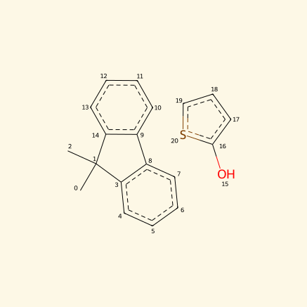 CC1(C)c2ccccc2-c2ccccc21.Oc1cccs1